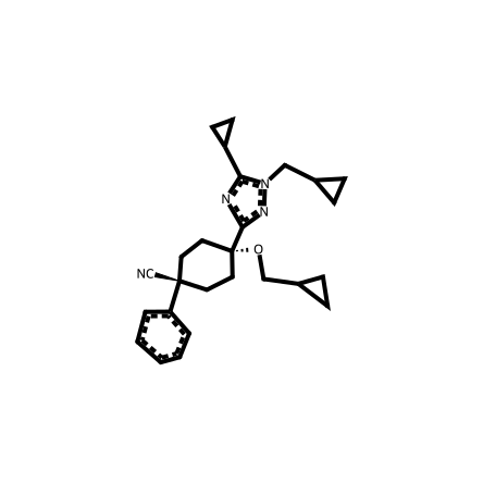 N#C[C@]1(c2ccccc2)CC[C@](OCC2CC2)(c2nc(C3CC3)n(CC3CC3)n2)CC1